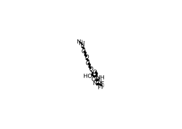 [N-]=[N+]=NCCOCCOCCOCCOC[C@H]1OC[C@H](Nc2cncc(C(F)(F)F)n2)[C@@H](O)[C@H]1O